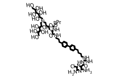 CCCOC(=O)N[C@@H](CCCCN(C[C@H](O)[C@@H](O)[C@H](O)[C@H](O)CO)C[C@H](O)[C@@H](O)[C@H](O)[C@H](O)CO)C(=O)NCCCc1ccc(-c2ccc(CCCCNC(=N)NC(=O)c3nc(Cl)c(N)nc3N)cc2)cc1